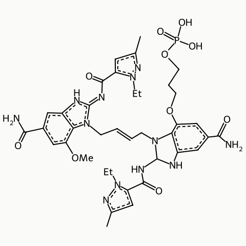 CCn1nc(C)cc1C(=O)/N=c1\[nH]c2cc(C(N)=O)cc(OC)c2n1C/C=C/CN1c2c(cc(C(N)=O)cc2OCCCOP(=O)(O)O)NC1NC(=O)c1cc(C)nn1CC